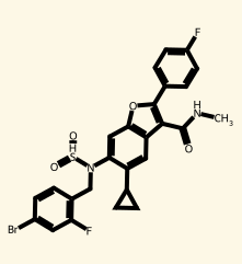 CNC(=O)c1c(-c2ccc(F)cc2)oc2cc(N(Cc3ccc(Br)cc3F)[SH](=O)=O)c(C3CC3)cc12